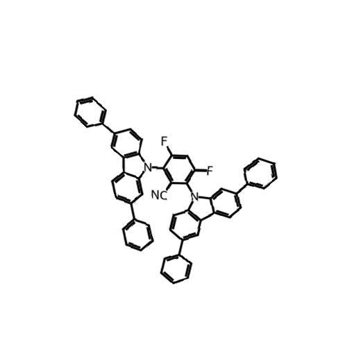 N#Cc1c(-n2c3ccc(-c4ccccc4)cc3c3ccc(-c4ccccc4)cc32)c(F)cc(F)c1-n1c2ccc(-c3ccccc3)cc2c2ccc(-c3ccccc3)cc21